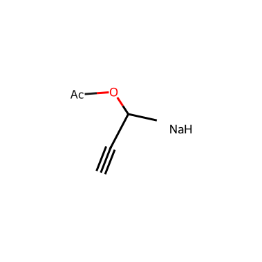 C#CC(C)OC(C)=O.[NaH]